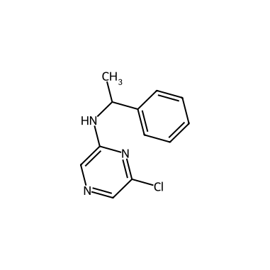 CC(Nc1cncc(Cl)n1)c1ccccc1